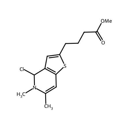 COC(=O)CCCc1cc2c(s1)C=C(C)N(C)C2Cl